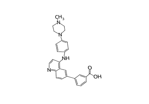 CN1CCN(c2ccc(Nc3ccnc4ccc(-c5cccc(C(=O)O)c5)cc34)cc2)CC1